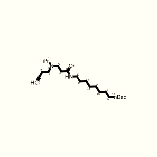 C#CCCN(CCC(=O)NCCCCCCCCCCCCCCCCCC)C(C)C